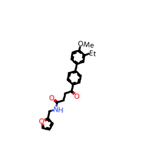 CCc1cc(-c2ccc(C(=O)CCC(=O)NCc3ccco3)cc2)ccc1OC